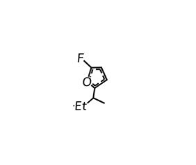 C[CH]C(C)c1ccc(F)o1